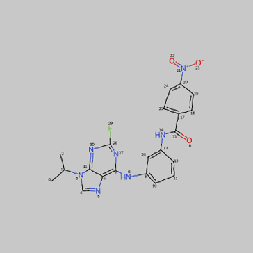 CC(C)n1cnc2c(Nc3cccc(NC(=O)c4ccc([N+](=O)[O-])cc4)c3)nc(F)nc21